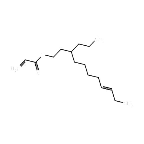 C=CC(=O)OCCC(CCC)CCCCC=CCC